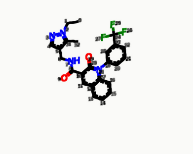 CCn1ncc(CNC(=O)c2cc3ccccc3n(-c3cccc(C(F)(F)F)c3)c2=O)c1C